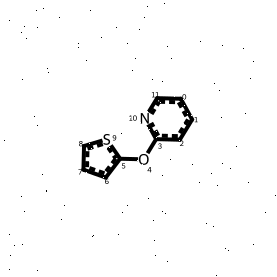 c1ccc(Oc2cccs2)nc1